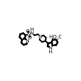 O=C(O)c1cccc2[nH]cc(C3CCN(CCNS(=O)(=O)c4cccc5cccnc45)CC3)c12